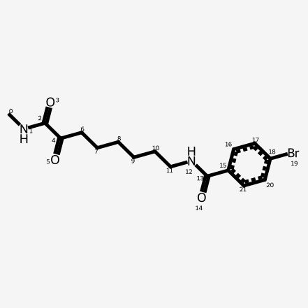 CNC(=O)C(=O)CCCCCCNC(=O)c1ccc(Br)cc1